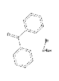 CCCCCCBr.O=C(c1ccccc1)c1ccccc1